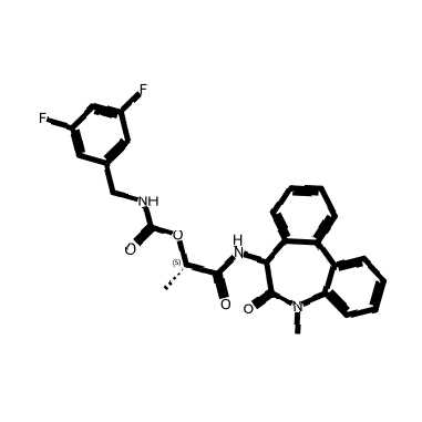 C[C@H](OC(=O)NCc1cc(F)cc(F)c1)C(=O)NC1C(=O)N(C)c2ccccc2-c2ccccc21